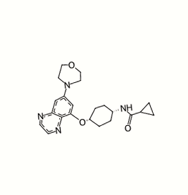 O=C(N[C@H]1CC[C@@H](Oc2cc(N3CCOCC3)cc3nccnc23)CC1)C1CC1